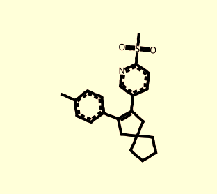 Cc1ccc(C2=C(c3ccc(S(C)(=O)=O)nc3)CC3(CCCC3)C2)cc1